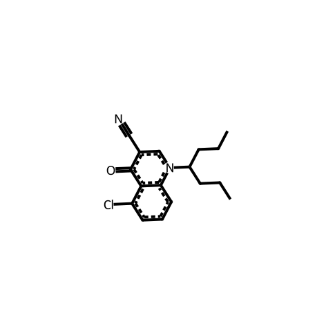 CCCC(CCC)n1cc(C#N)c(=O)c2c(Cl)cccc21